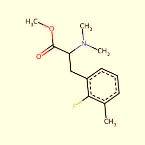 COC(=O)C(Cc1cccc(C)c1F)N(C)C